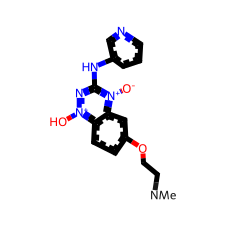 CNCCOc1ccc2c(c1)[n+]([O-])c(Nc1cccnc1)n[n+]2O